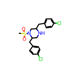 CS(=O)(=O)N1CC(Cc2ccc(Cl)cc2)NCC1Cc1ccc(Cl)cc1